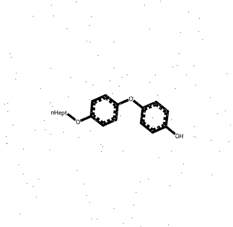 CCCCCCCOc1ccc(Oc2ccc(O)cc2)cc1